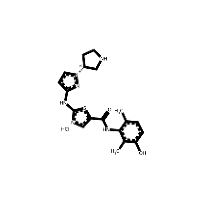 Cc1ccc(O)c(C)c1NC(=O)c1cnc(Nc2ccn([C@@H]3CCNC3)n2)s1.Cl